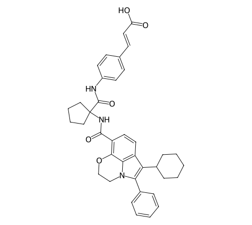 O=C(O)C=Cc1ccc(NC(=O)C2(NC(=O)c3ccc4c(C5CCCCC5)c(-c5ccccc5)n5c4c3OCC5)CCCC2)cc1